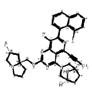 CC#Cc1nc(-c2cccc3cccc(F)c23)c(F)c2nc(OC[C@@]34CCCN3C[C@H](F)C4)nc(N3C[C@H]4CC[C@@H](C3)N4)c12